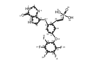 O=c1[nH]cnc2c(Sc3ccc(Oc4c(F)c(F)c(F)c(F)c4F)cc3/C=C/P(=O)(O)O)c[nH]c12